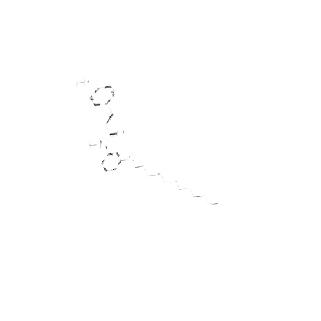 CCCCCCCCCCCCSc1cccc(NC(=O)C=Cc2ccc(O)cc2)c1